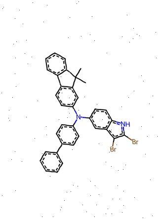 CC1(C)c2ccccc2-c2ccc(N(c3ccc(-c4ccccc4)cc3)c3ccc4[nH]c(Br)c(Br)c4c3)cc21